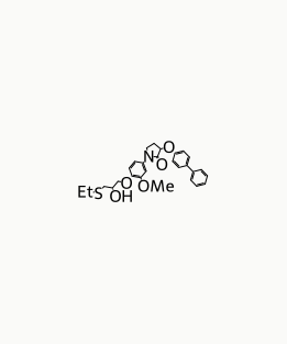 CCSC[C@@H](O)COc1ccc(N2CCC(Oc3ccc(-c4ccccc4)cc3)C2=O)cc1OC